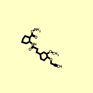 C#CCOC1CCC(CCC(=O)NC2CCCCC2C(=O)ON)CC1OC